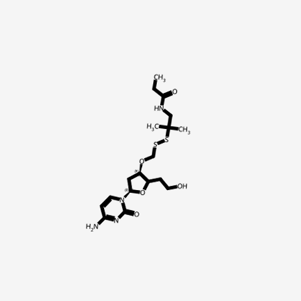 CCC(=O)NCC(C)(C)SSCO[C@@H]1C[C@H](n2ccc(N)nc2=O)OC1CCO